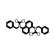 O=C(Cl)N(Cc1ccccc1)c1cccc2c(N(Cc3ccccc3)C(=O)Cl)cccc12